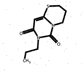 CCCn1c(=O)cc2n(c1=O)CCCS2